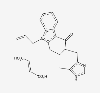 C=CCn1c2c(c3ccccc31)C(=O)C(Cc1nc[nH]c1C)CC2.O=C(O)C=CC(=O)O